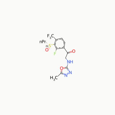 CCC[S@@+]([O-])c1c(C(F)(F)F)ccc(C(=O)CNc2nnc(C)o2)c1F